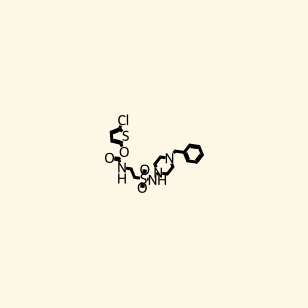 O=C(NCCS(=O)(=O)NN1CCN(Cc2ccccc2)CC1)Oc1ccc(Cl)s1